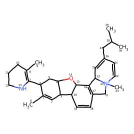 CC1=CC2C(CC1C1=C(C)CCCN1)OC1C3=C(C=CC12)C[N+]1(C)C=CC(CC(C)C)=CC31